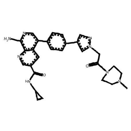 CN1CCN(C(=O)Cn2cc(-c3ccc(-c4cnc(N)c5ncc(C(=O)NC6CC6)cc45)cc3)cn2)CC1